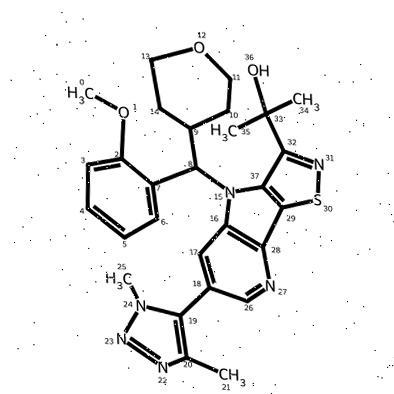 COc1ccccc1C(C1CCOCC1)n1c2cc(-c3c(C)nnn3C)cnc2c2snc(C(C)(C)O)c21